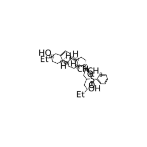 CCC(O)CC(C[C@@H](C)[C@H]1CC[C@H]2[C@@H]3CC=C4C[C@](O)(CC)CC[C@@H]4[C@H]3CC[C@]12C)S(=O)(=O)c1ccccc1